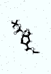 C=C(OCC)c1ccc2c(cnn2C(=O)OC(C)(C)C)c1